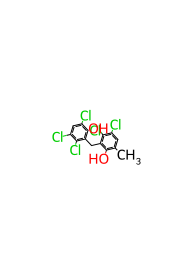 Cc1cc(Cl)c(Cl)c(Cc2c(O)c(Cl)cc(Cl)c2Cl)c1O